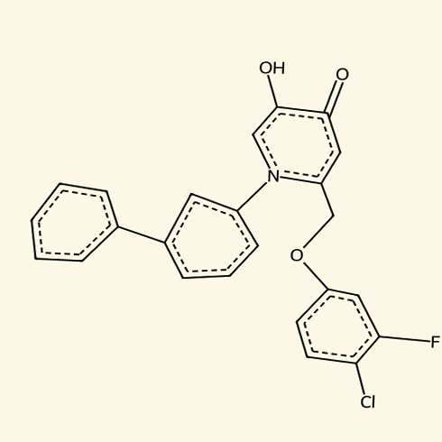 O=c1cc(COc2ccc(Cl)c(F)c2)n(-c2cccc(-c3ccccc3)c2)cc1O